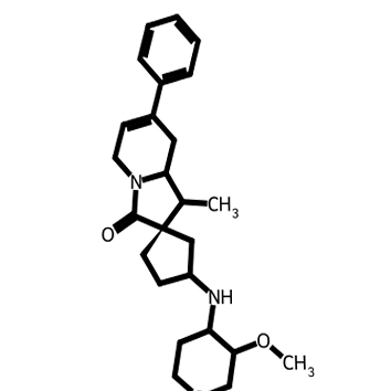 COC1COCCC1NC1CC[C@@]2(C1)C(=O)N1CC=C(c3ccccc3)CC1C2C